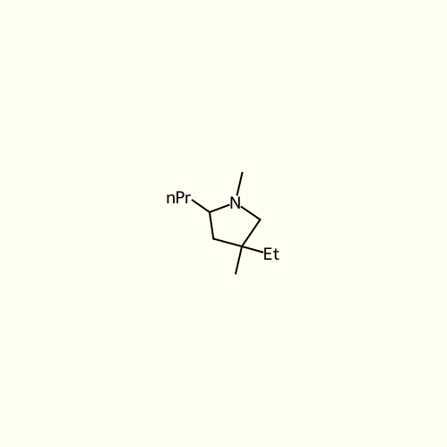 CCCC1CC(C)(CC)CN1C